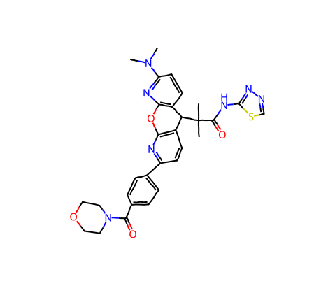 CN(C)c1ccc2c(n1)Oc1nc(-c3ccc(C(=O)N4CCOCC4)cc3)ccc1C2C(C)(C)C(=O)Nc1nncs1